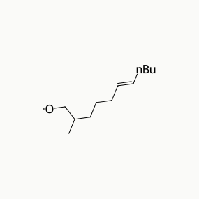 CCCCC=CCCCC(C)C[O]